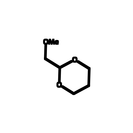 COCC1OCCCO1